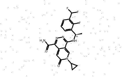 C[C@@H](Nc1nnc(C(N)=O)c2cc(=O)n(C3CC3)cc12)c1cccc(C(F)F)c1F